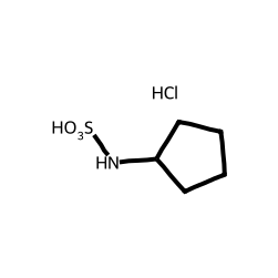 Cl.O=S(=O)(O)NC1CCCC1